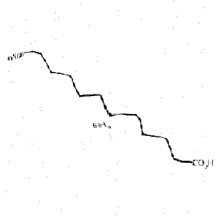 CCCCCCCCCCCCCCCCCCCC(=O)O.[BiH3]